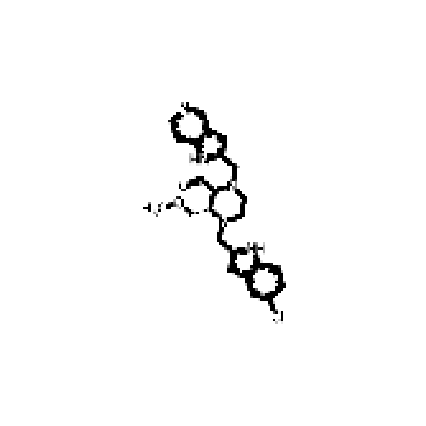 COC[C@@H]1C(C=O)N(Cc2cc3cnccc3[nH]2)CCN1Cc1cc2cc(Cl)ccc2[nH]1